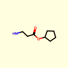 [NH]CCC(=O)OC1CCCC1